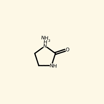 N.O=C1NCCN1